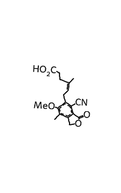 COc1c(C)c2c(c(C#N)c1CC=C(C)CCC(=O)O)C(=O)OC2